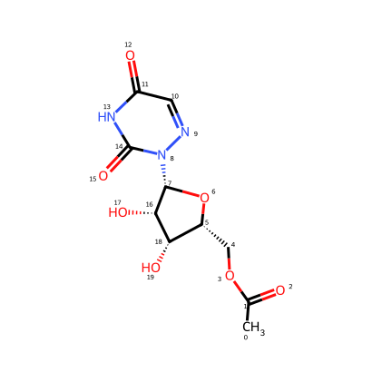 CC(=O)OC[C@H]1O[C@@H](n2ncc(=O)[nH]c2=O)[C@@H](O)[C@H]1O